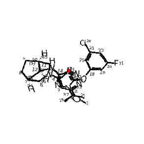 COc1cc(N2C[C@H]3CC[C@@H](C2)[C@H]3Nc2nc(Oc3cc(F)cc(Cl)c3)n(C(C)C)n2)cnn1